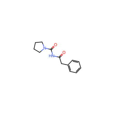 O=C(Cc1ccccc1)NC(=O)N1CCCC1